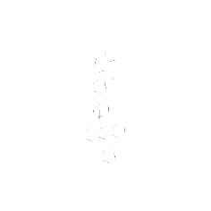 c1ccc(-c2c3ccccc3c(-c3ccc(-c4ccc5c(c4)sc4c6ccccc6ccc54)cn3)c3ccccc23)cc1